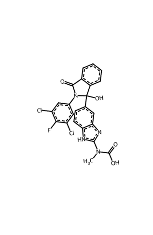 CN(C(=O)O)c1nc2cc(C3(O)c4ccccc4C(=O)N3c3cc(Cl)c(F)c(Cl)c3)ccc2[nH]1